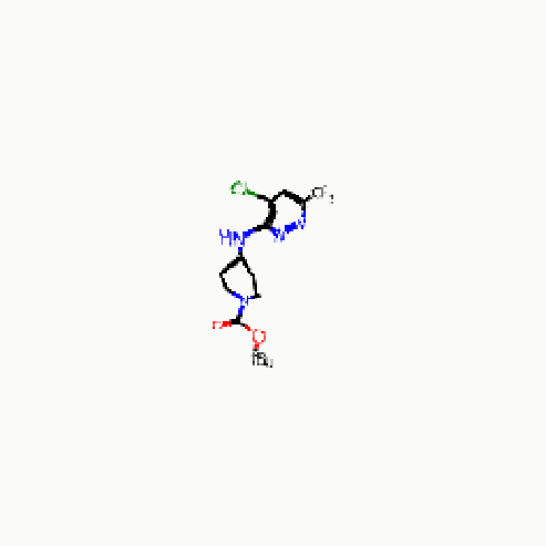 CC(C)(C)OC(=O)N1CCC(Nc2nnc(C(F)(F)F)cc2Cl)CC1